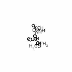 Cc1cc(-c2nc3cc(CNC(C(=O)OC4CCCC4)C(C)O)ccc3n2CC2CCOCC2)cn(C)c1=O